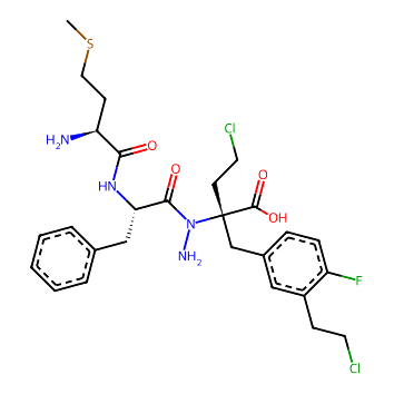 CSCC[C@H](N)C(=O)N[C@@H](Cc1ccccc1)C(=O)N(N)[C@@](CCCl)(Cc1ccc(F)c(CCCl)c1)C(=O)O